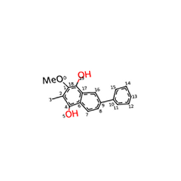 COc1c(C)c(O)c2ccc(-c3ccccc3)cc2c1O